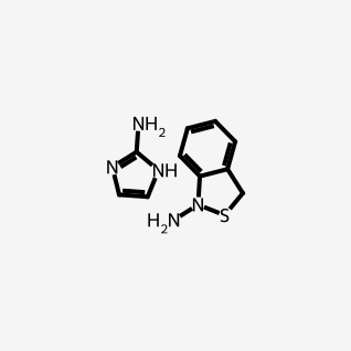 NN1SCc2ccccc21.Nc1ncc[nH]1